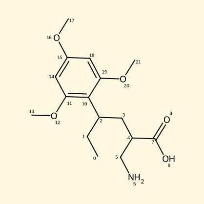 CCC(CC(CN)C(=O)O)c1c(OC)cc(OC)cc1OC